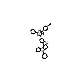 C#Cc1ccc(-c2nc(-c3ccccc3)nc(-c3ccc4c(c3)oc3ccc5c(c6ccccc6n5-c5ccccc5)c34)n2)cc1